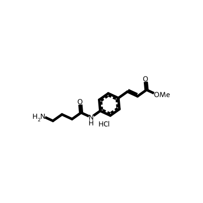 COC(=O)C=Cc1ccc(NC(=O)CCCN)cc1.Cl